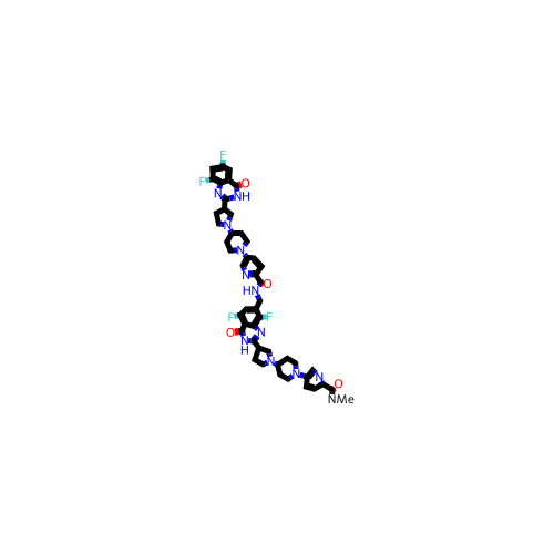 CNC(=O)c1ccc(N2CCC(N3CCC(c4nc5c(F)c(CNC(=O)c6ccc(N7CCC(N8CCC(c9nc%10c(F)cc(F)cc%10c(=O)[nH]9)C8)CC7)cn6)cc(F)c5c(=O)[nH]4)C3)CC2)cn1